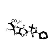 C/C(=C\[C@H](C(C)C)N(C)C(=O)[C@H](NC(=O)[C@H]1N(C)[C@H](c2ccccc2)SC1(C)C)C(C)(C)C)C(=O)O